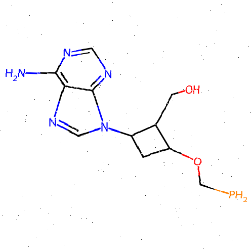 Nc1ncnc2c1ncn2C1CC(OCP)C1CO